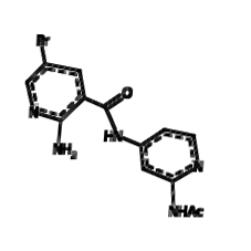 CC(=O)Nc1cc(NC(=O)c2cc(Br)cnc2N)ccn1